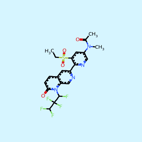 CCS(=O)(=O)c1cc(N(C)C(C)=O)cnc1-c1cc2ccc(=O)n(C(F)C(F)(F)C(F)F)c2cn1